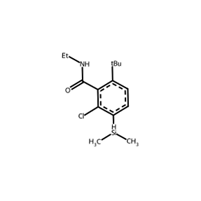 CCNC(=O)c1c(C(C)(C)C)ccc([SiH](C)C)c1Cl